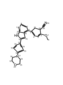 COC1=CC=C(c2ccnc3[nH]c(-c4ccc(N5CCOCC5)cc4)cc23)CC1C#N